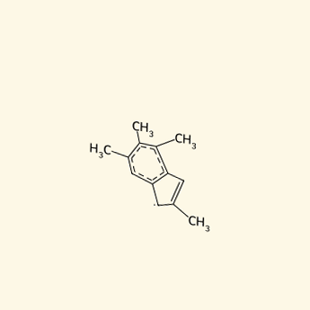 CC1=Cc2c(cc(C)c(C)c2C)[CH]1